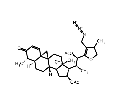 CC(=O)O[C@H]1C[C@@]2(C)[C@@H]3CC[C@H]4[C@H](C)C(=O)C=C[C@@]45C[C@@]35CC[C@]2(C)[C@H]1[C@H](C)[C@@H](OC(C)=O)C1=C(CN=[N+]=[N-])C(C)CO1